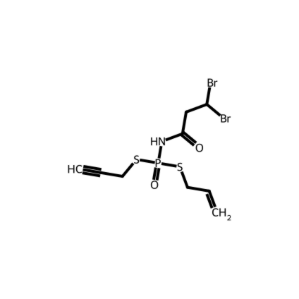 C#CCSP(=O)(NC(=O)CC(Br)Br)SCC=C